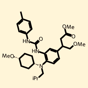 COCC(CC(=O)OC)c1ccc(N(CC(C)C)[C@H]2CC[C@@H](OC)CC2)c(NC(=O)Nc2ccc(C)cc2)c1